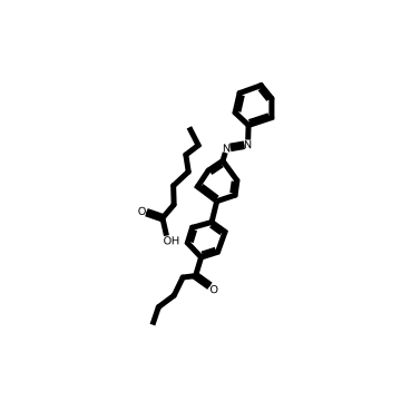 CCCCC(=O)c1ccc(-c2ccc(N=Nc3ccccc3)cc2)cc1.CCCCCCC(=O)O